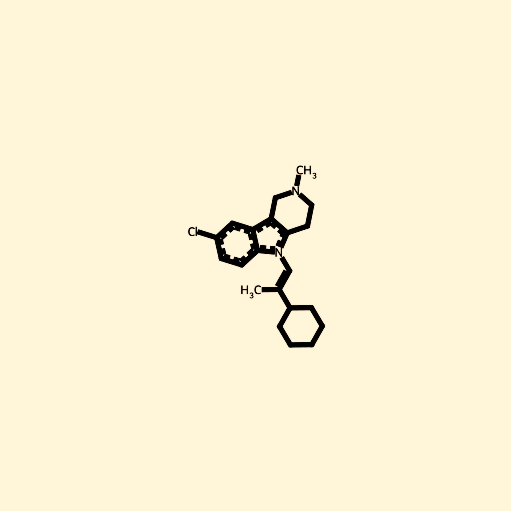 CC(=Cn1c2c(c3cc(Cl)ccc31)CN(C)CC2)C1CCCCC1